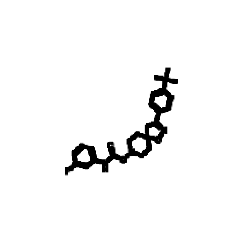 CC(C)(C)c1ccc(C2=NOC3(CCN(OC(=O)Nc4cccc(F)c4)CC3)C2)cc1